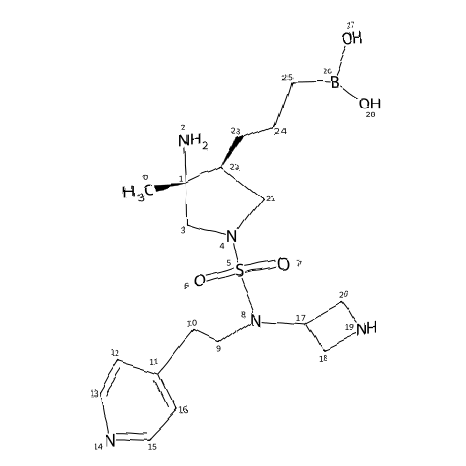 C[C@]1(N)CN(S(=O)(=O)N(CCc2ccncc2)C2CNC2)C[C@@H]1CCCB(O)O